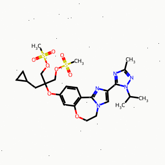 Cc1nc(-c2cn3c(n2)-c2ccc(OC(COS(C)(=O)=O)(COS(C)(=O)=O)CC4CC4)cc2OCC3)n(C(C)C)n1